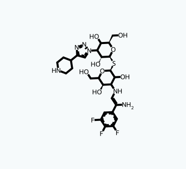 N/C(=C\NC1C(O)[C@H](S[C@@H]2O[C@H](CO)C(O)C(n3cc(C4CCNCC4)nn3)[C@H]2O)OC(CO)[C@@H]1O)c1cc(F)c(F)c(F)c1